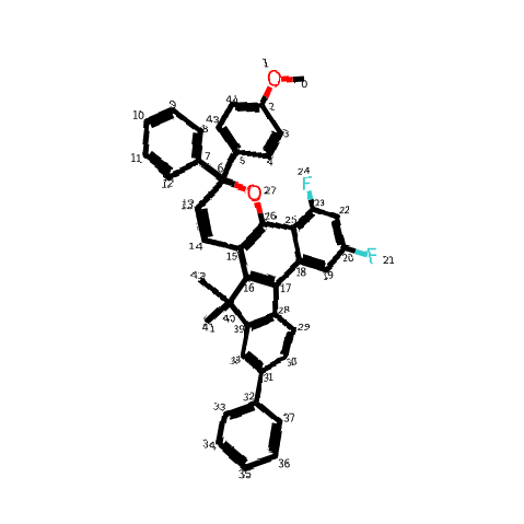 COc1ccc(C2(c3ccccc3)C=Cc3c4c(c5cc(F)cc(F)c5c3O2)-c2ccc(-c3ccccc3)cc2C4(C)C)cc1